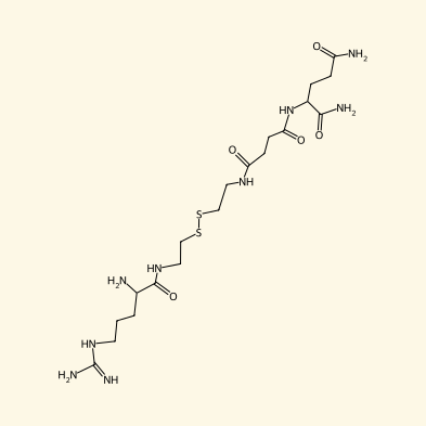 N=C(N)NCCCC(N)C(=O)NCCSSCCNC(=O)CCC(=O)NC(CCC(N)=O)C(N)=O